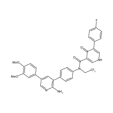 COc1ccc(-c2cnc(N)c(-c3ccc(N(CC(F)(F)F)C(=O)c4c[nH]cc(-c5ccc(F)cc5)c4=O)cc3)c2)cc1OC